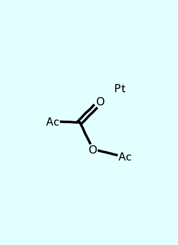 CC(=O)OC(=O)C(C)=O.[Pt]